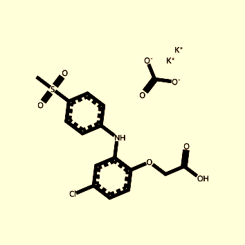 CS(=O)(=O)c1ccc(Nc2cc(Cl)ccc2OCC(=O)O)cc1.O=C([O-])[O-].[K+].[K+]